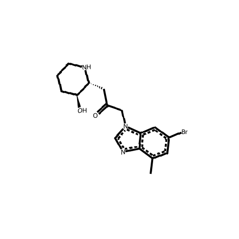 Cc1cc(Br)cc2c1ncn2CC(=O)C[C@H]1NCCC[C@@H]1O